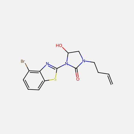 C=CCCN1CC(O)N(c2nc3c(Br)cccc3s2)C1=O